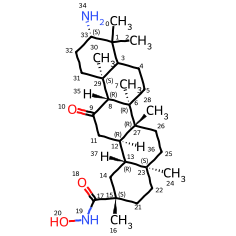 CC1(C)C2CC[C@]3(C)[C@H](C(=O)C[C@@H]4[C@H]5C[C@@](C)(C(=O)NO)CC[C@]5(C)CC[C@]43C)[C@@]2(C)CC[C@@H]1N